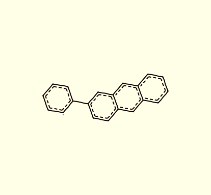 [c]1ccccc1-c1ccc2cc3ccccc3cc2c1